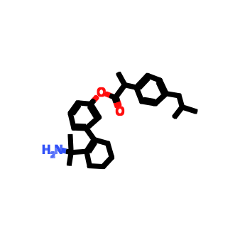 CC(C)Cc1ccc(C(C)C(=O)Oc2cccc(C3=C(C(C)(C)N)CCCC3)c2)cc1